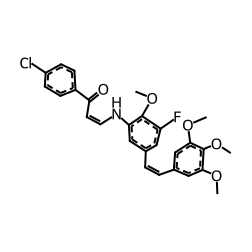 COc1cc(/C=C\c2cc(F)c(OC)c(N/C=C\C(=O)c3ccc(Cl)cc3)c2)cc(OC)c1OC